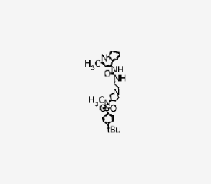 Cc1cc(NC(=O)NCCN2CCC(N(C)S(=O)(=O)c3ccc(C(C)(C)C)cc3)C2)c2ccccc2n1